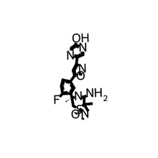 CN=S1(=O)C[C@@](C)(c2cc(-c3cc(-c4cnc(O)cn4)no3)ccc2F)N=C(N)C1(C)C